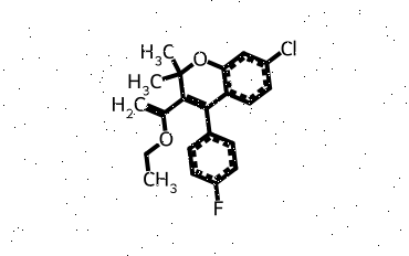 C=C(OCC)C1=C(c2ccc(F)cc2)c2ccc(Cl)cc2OC1(C)C